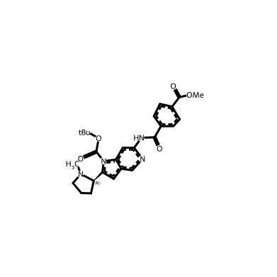 COC(=O)c1ccc(C(=O)Nc2cc3c(cn2)cc([C@H]2CCCN2C)n3C(=O)OC(C)(C)C)cc1